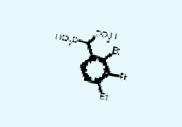 CCc1ccc(C(C(=O)O)C(=O)O)c(CC)c1CC